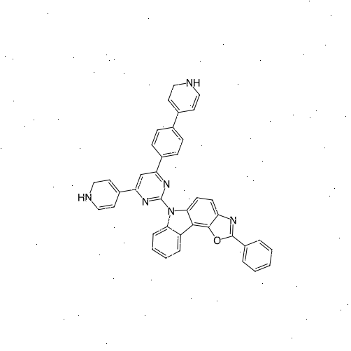 C1=CC(c2ccc(-c3cc(C4=CCNC=C4)nc(-n4c5ccccc5c5c6oc(-c7ccccc7)nc6ccc54)n3)cc2)=CCN1